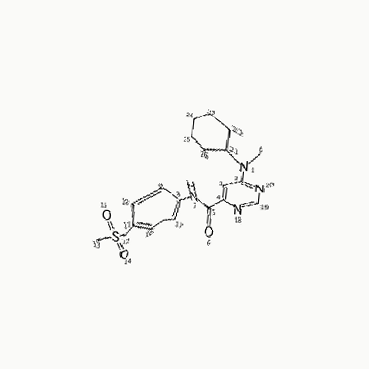 CN(c1cc(C(=O)Nc2ccc(S(C)(=O)=O)cc2)ncn1)C1CCCCC1